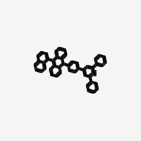 C1=CC2=C(c3cccc4ccccc34)c3ccccc3C(c3ccc(-c4cc(-c5ccccc5)nc(-c5ccccc5)c4)cc3)C2C=C1